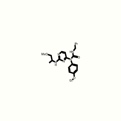 CCOc1ccc(N(C(=O)NCC(C)C)c2ccnc(NC(C)COC)n2)cc1